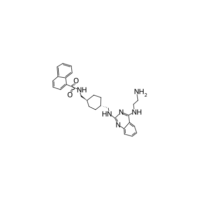 NCCNc1nc(NC[C@H]2CC[C@H](CNS(=O)(=O)c3cccc4ccccc34)CC2)nc2ccccc12